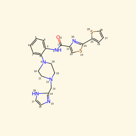 O=C(Nc1ccccc1N1CCN(Cc2ncc[nH]2)CC1)c1csc(-c2cccs2)n1